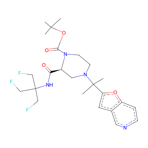 CC(C)(C)OC(=O)N1CCN(C(C)(C)c2cc3cnccc3o2)C[C@H]1C(=O)NC(CF)(CF)CF